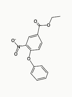 CCOC(=O)c1ccc(Oc2ccccc2)c([N+](=O)[O-])c1